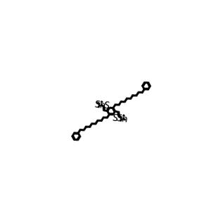 [CH3][Sn]([CH3])([CH3])[c]1cc2c(CCCCCCCCCCc3ccccc3)c3s[c]([Sn]([CH3])([CH3])[CH3])cc3c(CCCCCCCCCCc3ccccc3)c2s1